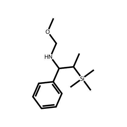 COCNC(c1ccccc1)C(C)[Si](C)(C)C